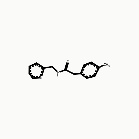 Cc1ccc(CC(=O)NCc2ccccn2)cc1